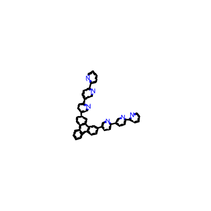 c1ccc(-c2ccc(-c3ccc(-c4ccc5c6ccccc6c6ccc(-c7ccc(-c8ccc(-c9ccccn9)nc8)nc7)cc6c5c4)cn3)cn2)nc1